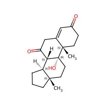 C[C@@]12CCC[C@H]1[C@@H]1C(=O)CC3=CC(=O)CC[C@]3(C)[C@@]1(O)CC2